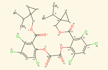 CC(C)C(C)C1(COC(=O)c2c(Cl)c(Cl)cc(Cl)c2OC(=O)C(=O)Oc2c(Cl)cc(Cl)c(Cl)c2C(=O)OCC2(C(C)C(C)C)CC2)CC1